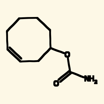 NC(=O)OC1CC=CCCCC1